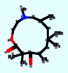 CCCN1CCOC(=O)C(C)(C)C(=O)C(C)CC(C)(OC)CC(C)C1